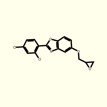 Clc1ccc(-c2nc3cc(OCC4CO4)ccc3o2)c(Cl)c1